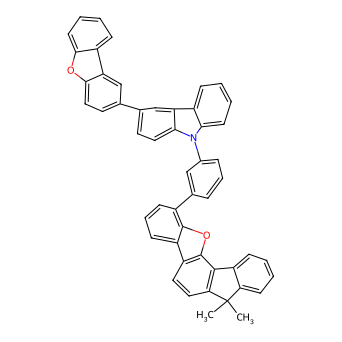 CC1(C)c2ccccc2-c2c1ccc1c2oc2c(-c3cccc(-n4c5ccccc5c5cc(-c6ccc7oc8ccccc8c7c6)ccc54)c3)cccc21